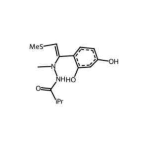 CS/C=C(/c1ccc(O)cc1O)N(C)NC(=O)C(C)C